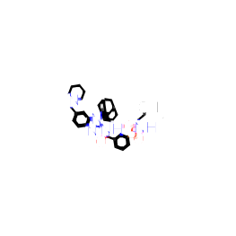 C=CCNS(=O)(=O)c1cccc(C(=O)Nc2nc3ccc(CN4CCCCC4)cc3n2C23CC4CC(CC(C4)C2)C3)c1